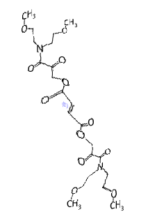 COCCN(CCOC)C(=O)C(=O)COC(=O)/C=C/C(=O)OCC(=O)C(=O)N(CCOC)CCOC